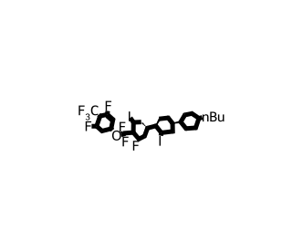 CCCCC1CCC([C@@H]2CC[C@H]([C@H]3CC(I)C(C(F)(F)OC4C=C(F)C(C(F)(F)F)C(F)C4)[C@@H](F)C3)C(I)C2)CC1